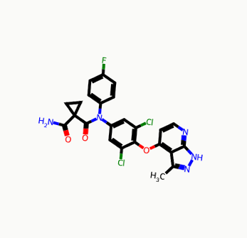 Cc1n[nH]c2nccc(Oc3c(Cl)cc(N(C(=O)C4(C(N)=O)CC4)c4ccc(F)cc4)cc3Cl)c12